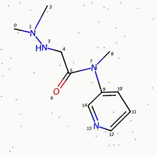 CN(C)NCC(=O)N(C)c1cccnc1